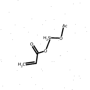 C=CC(=O)O[SiH2]OC(C)=O